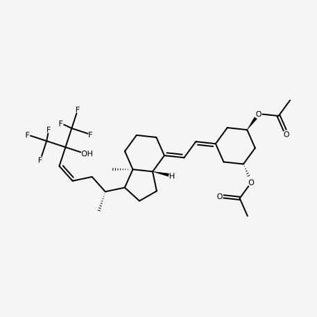 CC(=O)O[C@@H]1CC(=C/C=C2\CCC[C@]3(C)C([C@H](C)C/C=C\C(O)(C(F)(F)F)C(F)(F)F)CC[C@@H]23)C[C@@H](OC(C)=O)C1